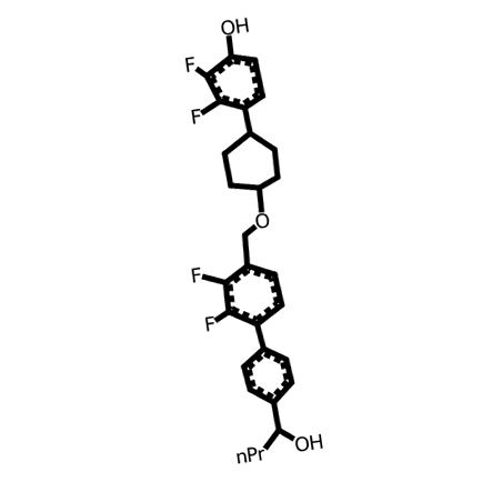 CCCC(O)c1ccc(-c2ccc(COC3CCC(c4ccc(O)c(F)c4F)CC3)c(F)c2F)cc1